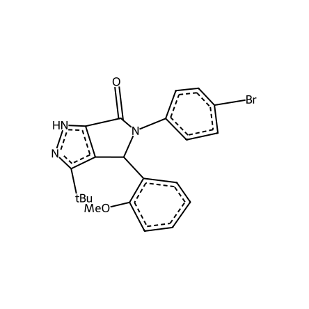 COc1ccccc1C1c2c(C(C)(C)C)n[nH]c2C(=O)N1c1ccc(Br)cc1